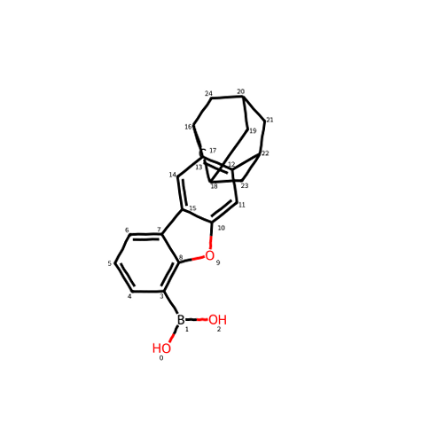 OB(O)c1cccc2c1oc1cc3c(cc12)C1CC2CC(CC3C2)C1